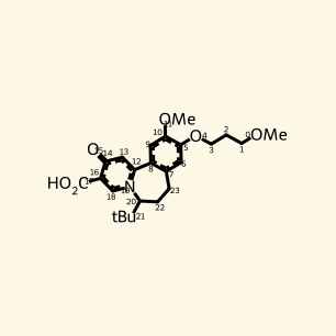 COCCCOc1cc2c(cc1OC)-c1cc(=O)c(C(=O)O)cn1C(C(C)(C)C)CC2